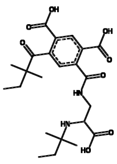 CCC(C)(C)NC(CNC(=O)c1cc(C(=O)C(C)(C)CC)c(C(=O)O)cc1C(=O)O)C(=O)O